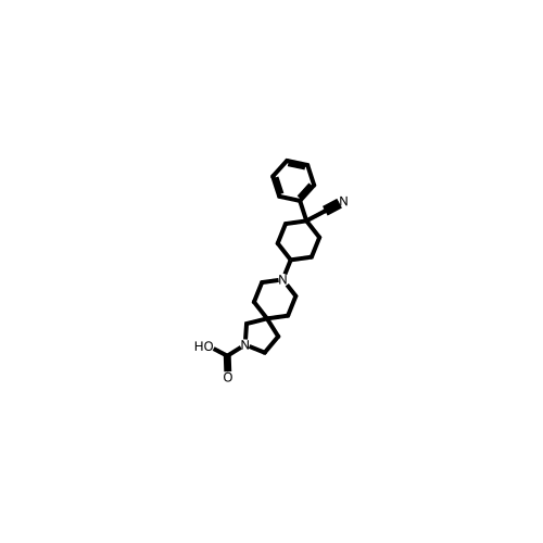 N#CC1(c2ccccc2)CCC(N2CCC3(CCN(C(=O)O)C3)CC2)CC1